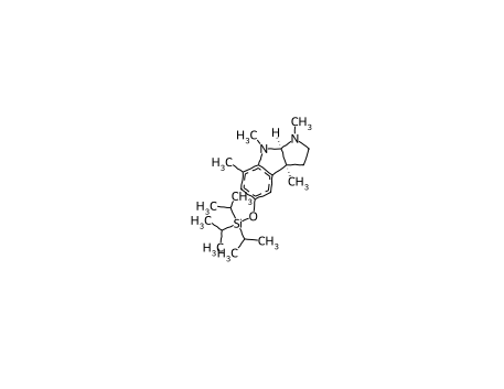 Cc1cc(O[Si](C(C)C)(C(C)C)C(C)C)cc2c1N(C)[C@H]1N(C)CC[C@@]21C